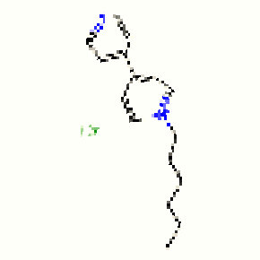 Br.CCCCCC[n+]1ccc(-c2ccncc2)cc1